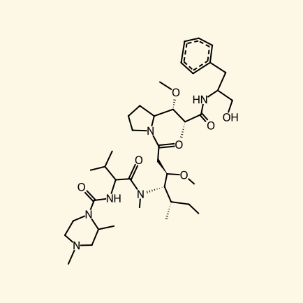 CC[C@H](C)[C@@H]([C@@H](CC(=O)N1CCCC1[C@H](OC)[C@@H](C)C(=O)NC(CO)Cc1ccccc1)OC)N(C)C(=O)C(NC(=O)N1CCN(C)CC1C)C(C)C